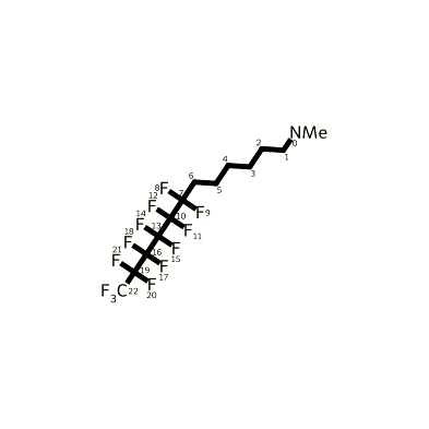 CNCCCCCCC(F)(F)C(F)(F)C(F)(F)C(F)(F)C(F)(F)C(F)(F)F